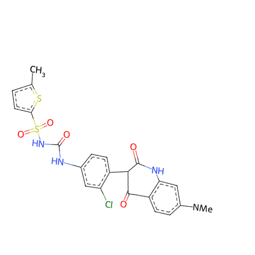 CNc1ccc2c(c1)NC(=O)C(c1ccc(NC(=O)NS(=O)(=O)c3ccc(C)s3)cc1Cl)C2=O